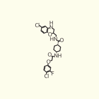 O=C(COc1ccc(Cl)c(F)c1)N[C@H]1CC[C@H](C(=O)NCC2CNc3cc(Cl)ccc3O2)CC1